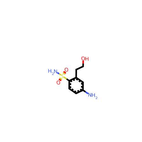 Nc1ccc(S(N)(=O)=O)c(CCO)c1